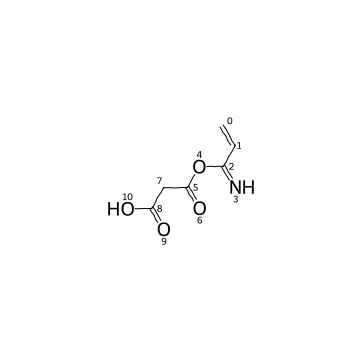 C=CC(=N)OC(=O)CC(=O)O